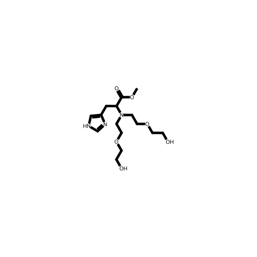 COC(=O)C(Cc1c[nH]cn1)N(CCOCCO)CCOCCO